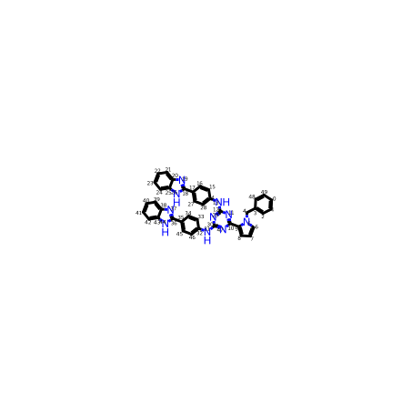 c1ccc(Cn2cccc2-c2nc(Nc3ccc(-c4nc5ccccc5[nH]4)cc3)nc(Nc3ccc(-c4nc5ccccc5[nH]4)cc3)n2)cc1